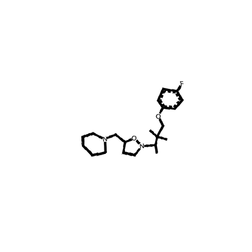 CC(N1CCC(CN2CCCCC2)O1)C(C)(C)COc1ccc(F)cc1